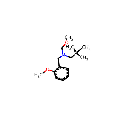 COCN(Cc1ccccc1OC)C[Si](C)(C)C